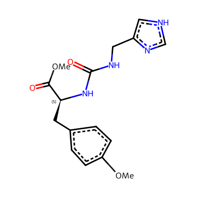 COC(=O)[C@H](Cc1ccc(OC)cc1)NC(=O)NCc1c[nH]cn1